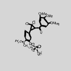 COc1cc(C(=O)C2C(c3ccc(N(C)C)c(OOP(=O)(O)O)c3)C2(Cl)Cl)cc(OC)c1OC